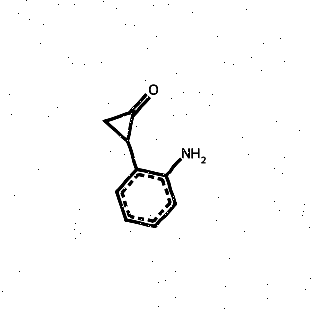 Nc1ccccc1C1CC1=O